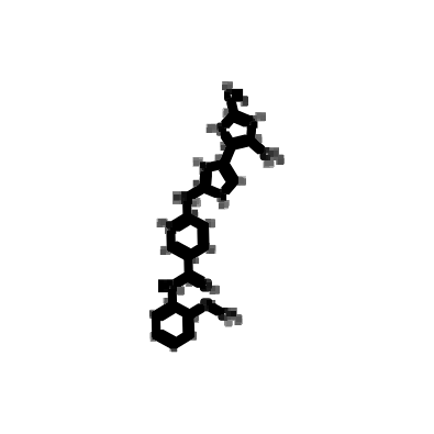 COc1ccccc1NC(=O)c1ccc(Nc2nc(-c3sc(C)nc3C)cs2)nc1